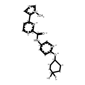 Cn1cncc1-c1ccnc(C(=O)Nc2ccc(OC3CCC(F)(F)CC3)nc2)n1